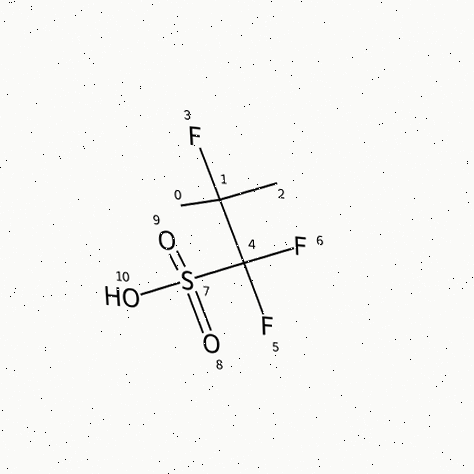 CC(C)(F)C(F)(F)S(=O)(=O)O